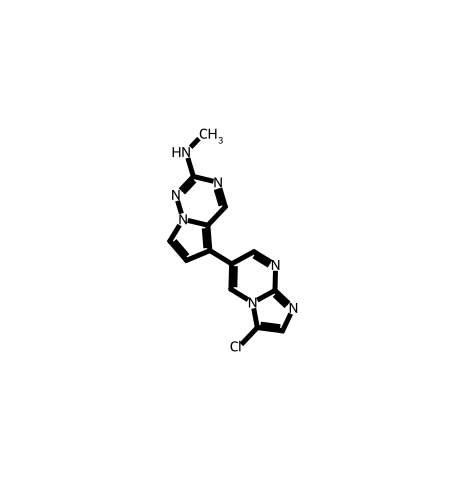 CNc1ncc2c(-c3cnc4ncc(Cl)n4c3)ccn2n1